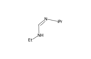 CCN/C=N\C(C)C